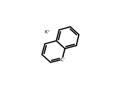 [K+].[c-]1cccc2ccccc12